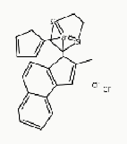 CC1=Cc2c(ccc3ccccc23)[CH]1[Zr+2]1([C]2=CC=CC2)=[Si]2CC[Si]=1CC2.[Cl-].[Cl-]